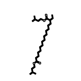 CCC(CCCCCCCCCCCCCCC(=O)OCCC(C)C)C(=O)OCCC(C)C